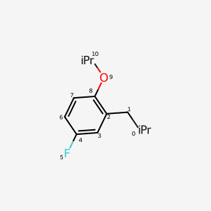 CC(C)Cc1cc(F)ccc1OC(C)C